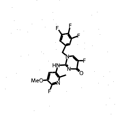 COc1cc(Nc2nc(=O)c(F)cn2Cc2cc(F)c(F)c(F)c2)c(C)nc1F